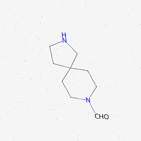 O=CN1CCC2(CCNC2)CC1